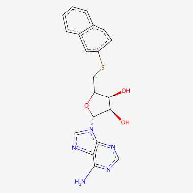 Nc1ncnc2c1ncn2[C@@H]1OC(CSc2ccc3ccccc3c2)[C@@H](O)[C@H]1O